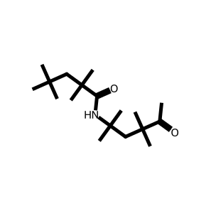 CC(=O)C(C)(C)CC(C)(C)NC(=O)C(C)(C)CC(C)(C)C